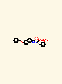 O=C(N[C@@H](Cc1cccc(O)c1)C(=O)O)c1ccc2cc(OCc3ccccc3)ccc2c1